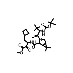 COC(=O)C(=O)C(CC1CCC1)NC(=O)C1C2C(CN1C(=O)C(NC(=O)OC(C)(C)C)C(C)(C)C)C2(C)C